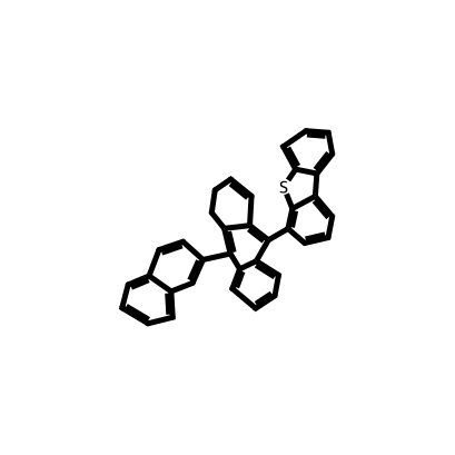 C1=Cc2c(c(-c3ccc4ccccc4c3)c3ccccc3c2-c2cccc3c2sc2ccccc23)CC1